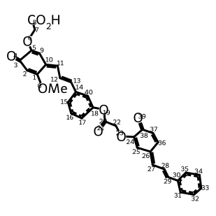 COC1=CC(=O)C(OCC(=O)O)=C/C1=C/C=C/c1cccc(OC(=O)COC2=C/C(=C/C=C/c3ccccc3)C=CC2=O)c1